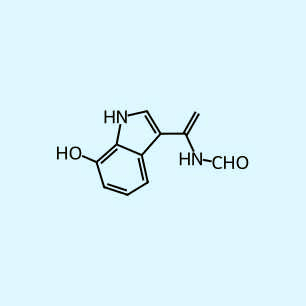 C=C(NC=O)c1c[nH]c2c(O)cccc12